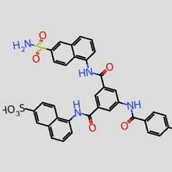 Cc1ccc(C(=O)Nc2cc(C(=O)Nc3cccc4cc(S(N)(=O)=O)ccc34)cc(C(=O)Nc3cccc4cc(S(=O)(=O)O)ccc34)c2)cc1